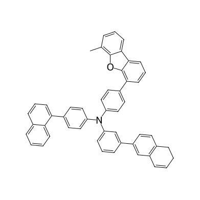 Cc1cccc2c1oc1c(-c3ccc(N(c4ccc(-c5cccc6ccccc56)cc4)c4cccc(-c5ccc6c(c5)C=CCC6)c4)cc3)cccc12